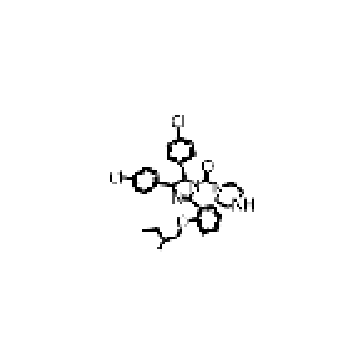 CCC(C)COc1ccccc1C1=NC(c2ccc(Cl)cc2)C(c2ccc(Cl)cc2)N1C(=O)N1CCNCC1